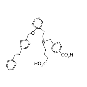 O=C(O)CCCCN(CCc1ccccc1OCc1ccc(/C=C/c2ccccc2)cc1)Cc1ccc(C(=O)O)cc1